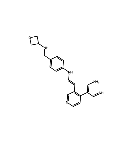 N=C/C(=C\N)c1ccncc1/C=C/Nc1ccc(CNC2COC2)cc1